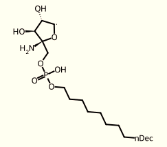 CCCCCCCCCCCCCCCCCCOP(=O)(O)OC[C@@]1(N)O[CH][C@@H](O)[C@@H]1O